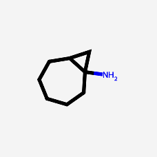 NC12CCCCCC1C2